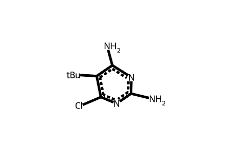 CC(C)(C)c1c(N)nc(N)nc1Cl